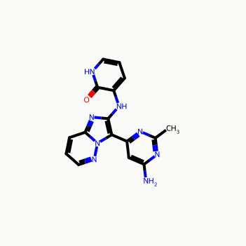 Cc1nc(N)cc(-c2c(Nc3ccc[nH]c3=O)nc3cccnn23)n1